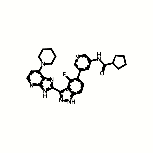 O=C(Nc1cncc(-c2ccc3[nH]nc(-c4nc5c(N6CCCCC6)ccnc5[nH]4)c3c2F)c1)C1CCCC1